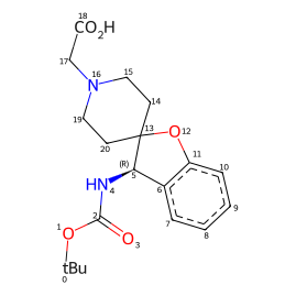 CC(C)(C)OC(=O)N[C@@H]1c2ccccc2OC12CCN(CC(=O)O)CC2